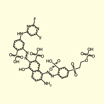 Nc1ccc2c(O)c(/N=N/c3cc(Nc4cc(F)nc(F)n4)ccc3S(=O)(=O)O)c(S(=O)(=O)O)cc2c1/N=N/c1ccc(S(=O)(=O)CCOS(=O)(=O)O)cc1S(=O)(=O)O